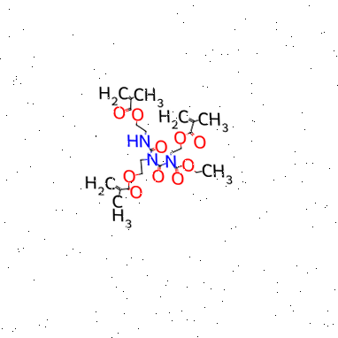 C=C(C)C(=O)OCCNC(=O)N(CCOC(=O)C(=C)C)C(=O)N(CCOC(=O)C(=C)C)C(=O)OCC